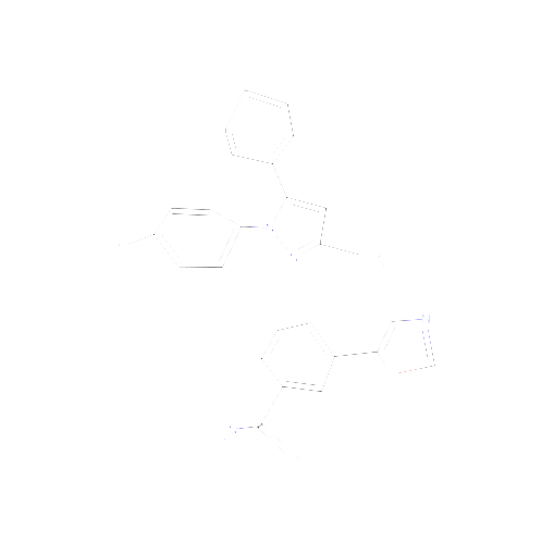 NC(=O)c1cccc(-c2cnco2)c1.O=C(O)c1cc(-c2ccccc2)n(-c2ccc(Cl)cc2)n1